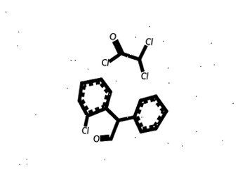 O=C(Cl)C(Cl)Cl.O=CC(c1ccccc1)c1ccccc1Cl